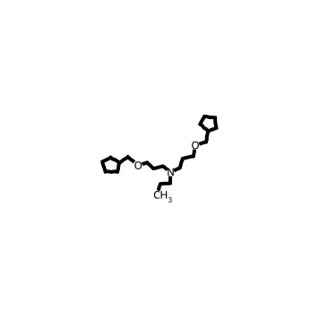 CCCN(CCCOCC1CCCC1)CCCOCC1CCCC1